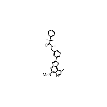 CNc1nc2cc(-c3cccc(CNC(=O)C(C)(C)c4ccccc4)c3)sc2c2c1ncn2C